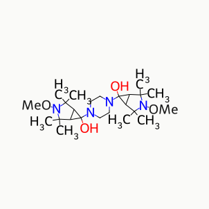 CON1C(C)(C)C2C(C1(C)C)C2(O)N1CCN(C2(O)C3C2C(C)(C)N(OC)C3(C)C)CC1